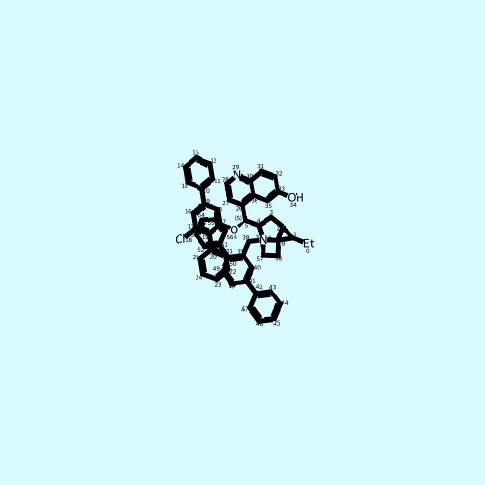 CCC1C2CC([C@@H](Oc3cc(-c4ccccc4)cc(Cl)c3-c3ccccc3)c3ccnc4ccc(O)cc34)[N+]3(Cc4cc(-c5ccccc5)ccc4-c4ccccc4)CCC123